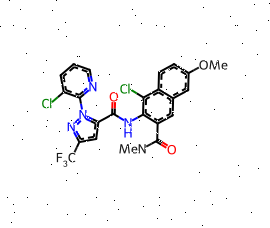 CNC(=O)c1cc2cc(OC)ccc2c(Cl)c1NC(=O)c1cc(C(F)(F)F)nn1-c1ncccc1Cl